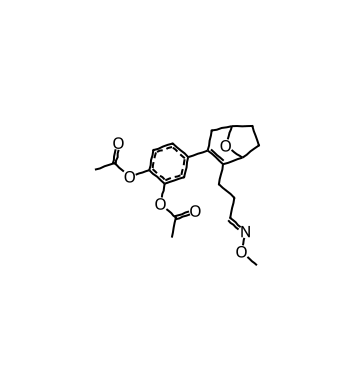 CON=CCCC1=C(c2ccc(OC(C)=O)c(OC(C)=O)c2)CC2CCC1O2